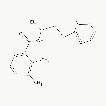 CCC(CCc1ccccn1)NC(=O)c1cccc(C)c1C